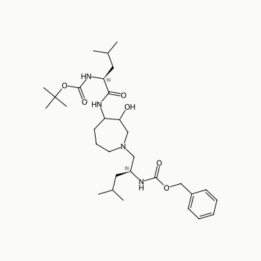 CC(C)C[C@@H](CN1CCCC(NC(=O)[C@H](CC(C)C)NC(=O)OC(C)(C)C)C(O)C1)NC(=O)OCc1ccccc1